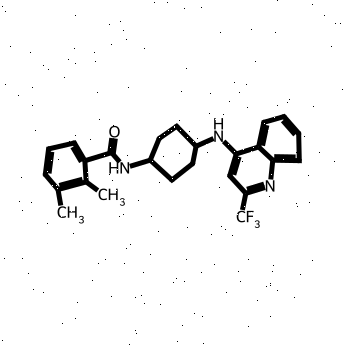 Cc1cccc(C(=O)NC2CCC(Nc3cc(C(F)(F)F)nc4ccccc34)CC2)c1C